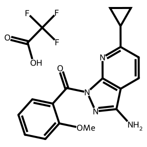 COc1ccccc1C(=O)n1nc(N)c2ccc(C3CC3)nc21.O=C(O)C(F)(F)F